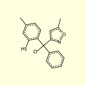 Cc1ccc(C(Cl)(c2ccccc2)c2cc(C)on2)c(S)c1